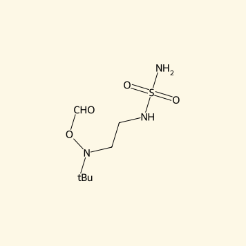 CC(C)(C)N(CCNS(N)(=O)=O)OC=O